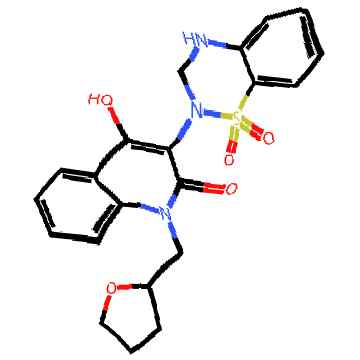 O=c1c(N2CNc3ccccc3S2(=O)=O)c(O)c2ccccc2n1CC1CCCO1